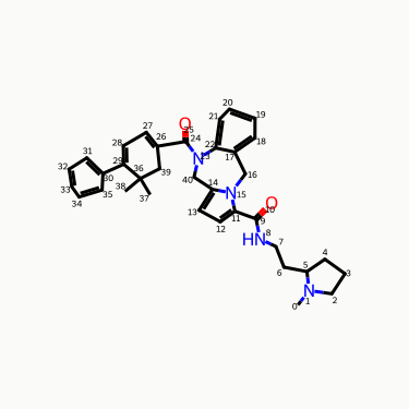 CN1CCCC1CCNC(=O)c1ccc2n1Cc1ccccc1N(C(=O)C1=CC=C(c3ccccc3)C(C)(C)C1)C2